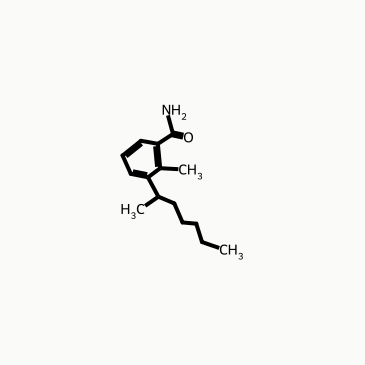 CCCCCC(C)c1cccc(C(N)=O)c1C